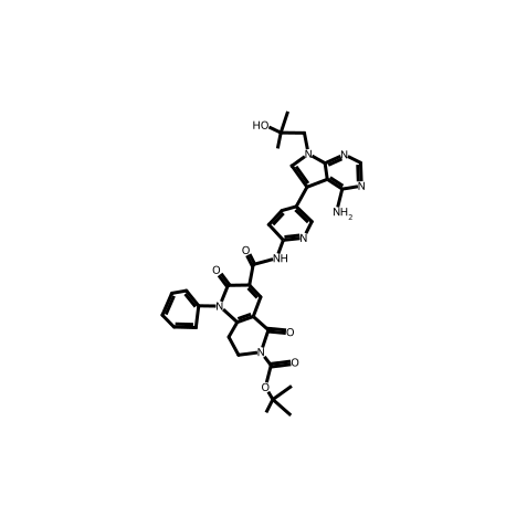 CC(C)(O)Cn1cc(-c2ccc(NC(=O)c3cc4c(n(-c5ccccc5)c3=O)CCN(C(=O)OC(C)(C)C)C4=O)nc2)c2c(N)ncnc21